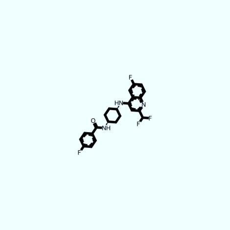 O=C(N[C@H]1CC[C@@H](Nc2cc(C(F)F)nc3ccc(F)cc23)CC1)c1ccc(F)cc1